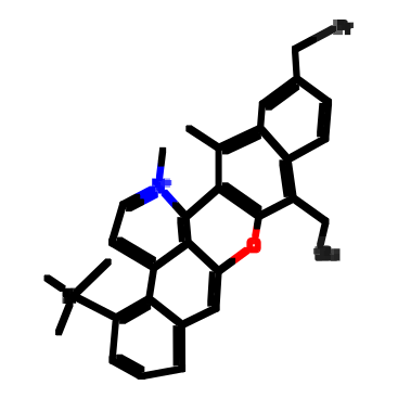 Cc1c2c(c(CC(C)(C)C)c3ccc(CC(C)C)cc13)Oc1cc3cccc([Si](C)(C)C)c3c3cc[n+](C)c-2c13